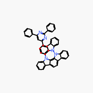 c1ccc(-c2cc(-c3ccc(-n4c5ccccc5c5ccc6c7ccccc7n(-n7c8ccccc8c8ccccc87)c6c54)cc3)nc(-c3ccccc3)n2)cc1